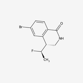 C[C@@H](F)[C@H]1CNC(=O)c2ccc(Br)cc21